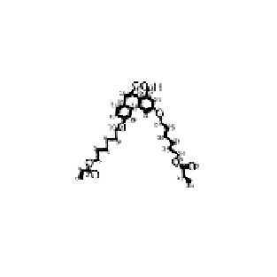 C=CC(=O)OCCCCCCOc1ccc(C=C(C(=O)O)c2ccc(OCCCCCCOC(=O)C=C)cc2C)cc1